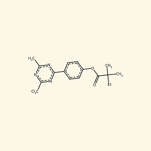 CCC(C)(C)C(=O)Oc1ccc(-c2nc(C)nc(C(Cl)(Cl)Cl)n2)cc1